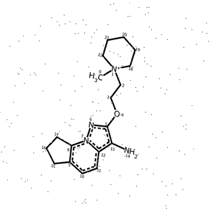 C[N+]1(CCOc2nn3c4c(ccc3c2N)CCC4)CCCCC1